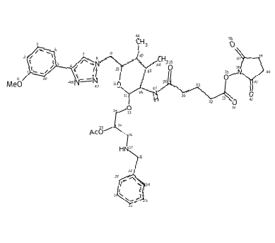 COc1cccc(-c2cn(CC3OC(OCC(CNCc4ccccc4)OC(C)=O)C(NC(=O)CCCC(=O)ON4C(=O)CCC4=O)C(C)C3C)nn2)c1